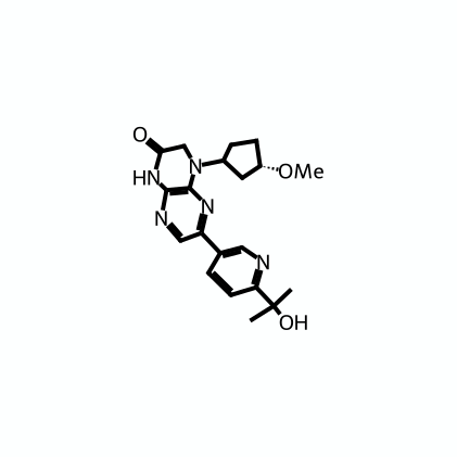 CO[C@H]1CCC(N2CC(=O)Nc3ncc(-c4ccc(C(C)(C)O)nc4)nc32)C1